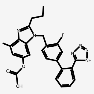 CCCc1nc2c(C)cc(OC(=O)O)cc2n1Cc1ccc(-c2ccccc2-c2nnn[nH]2)cc1F